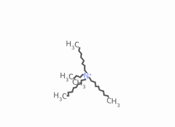 CCCCCCCCCC[N+](CCCCCCCCCC)(CCCCCCCCCC)CCCC(C)C